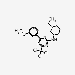 CCN1CCCC(Nc2nc(-c3cccc(OC)c3)nc(C(Cl)(Cl)Cl)n2)C1